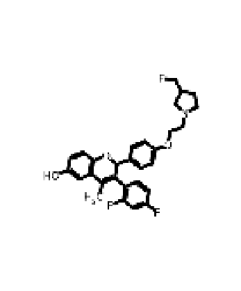 CC1=C(c2ccc(F)cc2F)C(c2ccc(OCCN3CCC(CF)C3)cc2)Oc2ccc(O)cc21